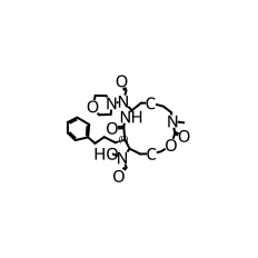 CN1CCCCC(N(C=O)N2CCOCC2)NC(=O)[C@H](CCCc2ccccc2)C(N(O)C=O)CCCOC1=O